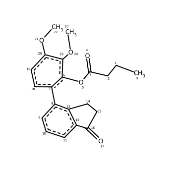 CCCC(=O)Oc1c(-c2cccc3c2CCC3=O)ccc(OC)c1OC